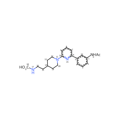 CC(=O)Nc1cccc(-c2cccc(N3CCC(CCNC(=O)O)CC3)n2)c1